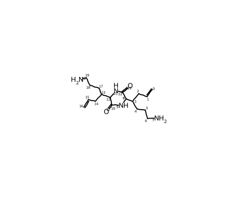 C=CCC(CCCN)C1NC(=O)C(C(CC=C)CCCN)NC1=O